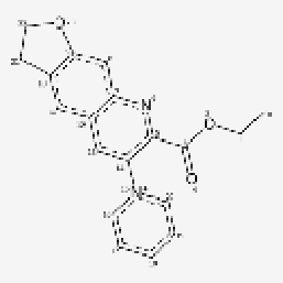 CCOC(=O)c1nc2cc3c(cc2cc1-[n+]1ccccc1)CCO3